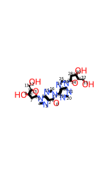 O=c1c2ncn([C@H]3CC(O)[C@@H](CO)O3)c2ncn1-c1ncnc2c1ncn2[C@H]1CC(O)[C@@H](CO)O1